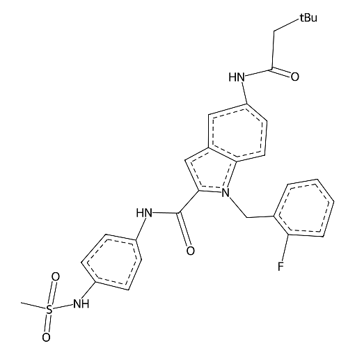 CC(C)(C)CC(=O)Nc1ccc2c(c1)cc(C(=O)Nc1ccc(NS(C)(=O)=O)cc1)n2Cc1ccccc1F